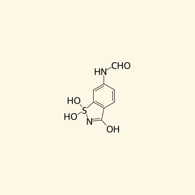 O=CNc1ccc2c(c1)S(O)(O)N=C2O